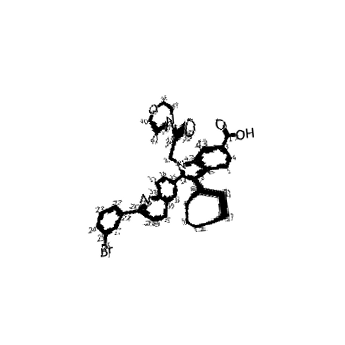 O=C(O)c1ccc2c(C3CCCCC3)c(-c3ccc4nc(-c5cccc(Br)c5)ccc4c3)n(CC(=O)N3CCOCC3)c2c1